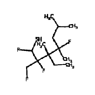 CCC(C)(C(C)(F)CC(C)C)C(F)(CF)C(F)S